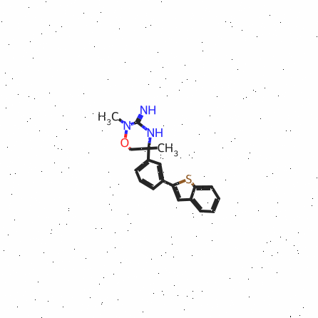 CN1OCC(C)(c2cccc(-c3cc4ccccc4s3)c2)NC1=N